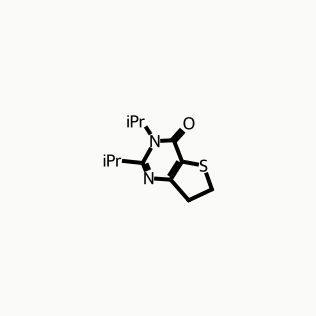 CC(C)c1nc2c(c(=O)n1C(C)C)SCC2